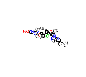 C/N=c1/c2cc(-c3cccc(-c4cccc5c4CC[C@@H]5Oc4nc(OC)c(CN5CC[C@@H](O)C5)nc4C(F)(F)F)c3Cl)oc2c(C#N)cn1CCN1CC[C@@H](C(=O)O)C1